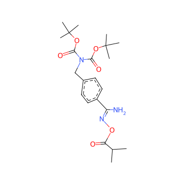 CC(C)C(=O)O/N=C(\N)c1ccc(CN(C(=O)OC(C)(C)C)C(=O)OC(C)(C)C)cc1